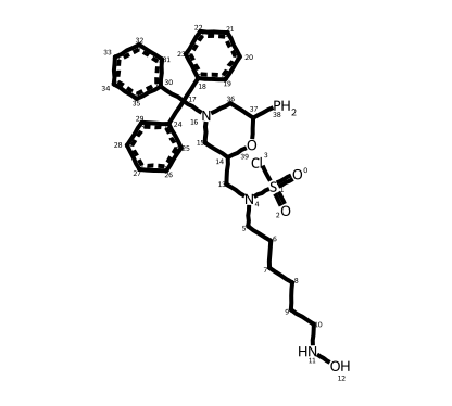 O=S(=O)(Cl)N(CCCCCCNO)CC1CN(C(c2ccccc2)(c2ccccc2)c2ccccc2)CC(P)O1